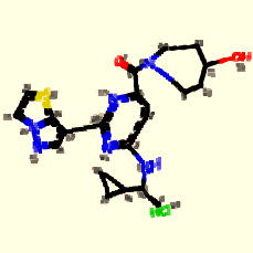 C[C@H](Nc1cc(C(=O)N2CCC(O)CC2)nc(-c2cnn3ccsc23)n1)C1CC1.Cl